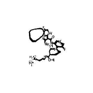 CN(C)CCCNC(O)C1CCN(c2c(F)cncc2NC(=O)c2c(N)nn3c2NCC(F)C32CCCCCCCCCC2)CC1